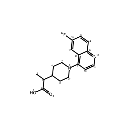 CC(C(=O)O)C1CCN(c2ccnc3ccc(F)cc23)CC1